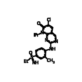 CCS(=N)(=O)c1ccc(Nc2ncc3cc(Cl)c(=O)n(C(C)C)c3n2)c(C)c1